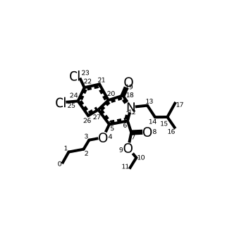 CCCCOc1c(C(=O)OCC)n(CCC(C)C)c(=O)c2cc(Cl)c(Cl)cc12